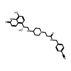 N#Cc1ccc(CNC(=O)CCN2CCC(NC[C@H](O)c3ccc(O)c4[nH]c(=O)ccc34)CC2)cc1